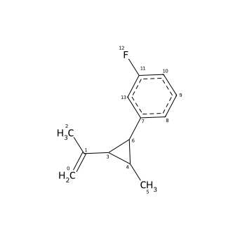 C=C(C)C1C(C)C1c1cccc(F)c1